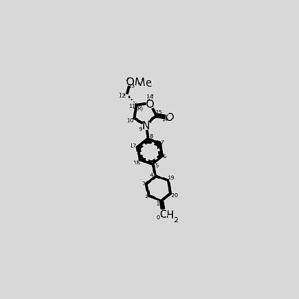 C=C1CCC(c2ccc(N3C[C@H](COC)OC3=O)cc2)CC1